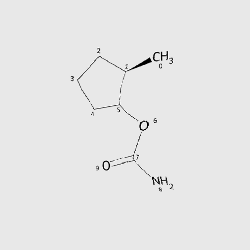 C[C@@H]1CCCC1OC(N)=O